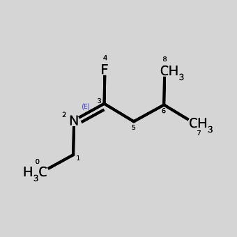 CC/N=C(/F)CC(C)C